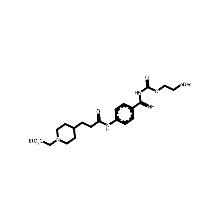 CCCCCCCCCCCCOC(=O)NC(=N)c1ccc(NC(=O)CCC2CCN(CC(=O)OCC)CC2)cc1